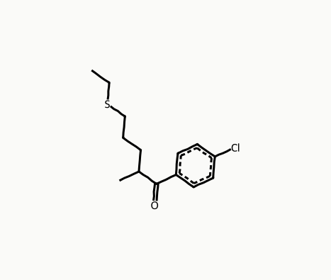 CCSCCCC(C)C(=O)c1ccc(Cl)cc1